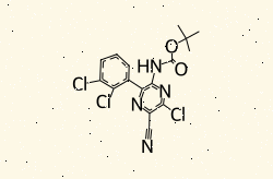 CC(C)(C)OC(=O)Nc1nc(Cl)c(C#N)nc1-c1cccc(Cl)c1Cl